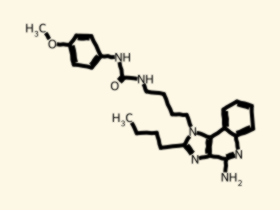 CCCCc1nc2c(N)nc3ccccc3c2n1CCCCNC(=O)Nc1ccc(OC)cc1